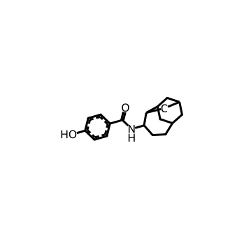 O=C(NC1CCC2CC3CC(C2)C1C3)c1ccc(O)cc1